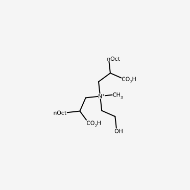 CCCCCCCCC(C[N+](C)(CCO)CC(CCCCCCCC)C(=O)O)C(=O)O